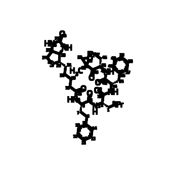 CC(C)C[C@H](NC(=O)[C@H](CCc1ccccc1)NC(=O)CCCC[C@@H]1SCC2NC(=O)NC21)C(=O)N[C@@H](Cc1ccccc1)C(=O)N[C@@H](CC(C)C)C(=O)[C@@]1(C)CO1